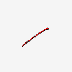 C=C(C)C(=O)OCCCCCCCCCCCCCCCCCCCCCCCCCCCCCCCCCCCCCCCCCCCCC